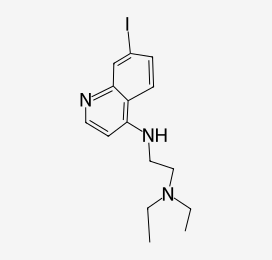 CCN(CC)CCNc1ccnc2cc(I)ccc12